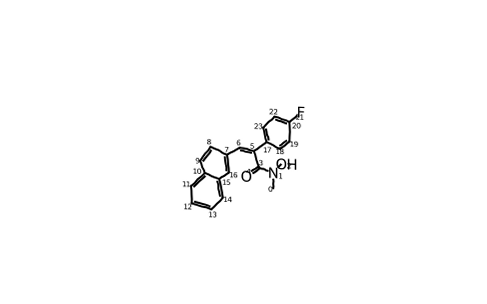 CN(O)C(=O)C(=Cc1ccc2ccccc2c1)c1ccc(F)cc1